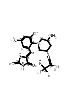 NC1CCCN(c2c(Cl)cc(C(F)(F)F)cc2/C=C2\SC(=O)NC2=O)C1.O=C(O)C(F)(F)F